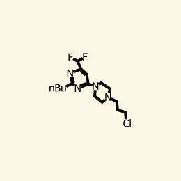 CCCCc1nc(C(F)F)cc(N2CCN(CCCCl)CC2)n1